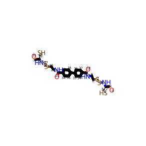 O=C[C@H](CS)NSSCCNC(=O)c1ccc(-c2ccc(C(=O)NCCSSN[C@H](C=O)CS)cc2)cc1